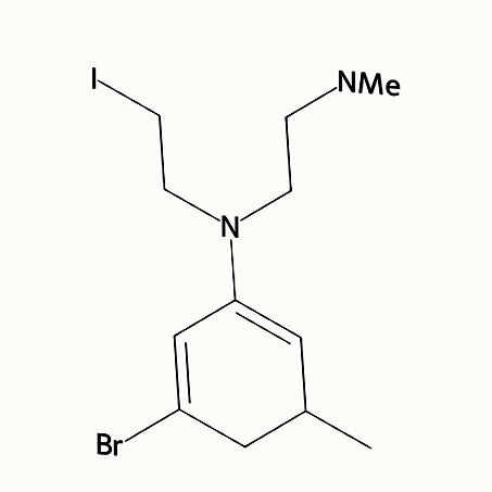 CNCCN(CCI)C1=CC(C)CC(Br)=C1